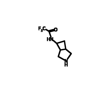 O=C(NC1CC2CNCC21)C(F)(F)F